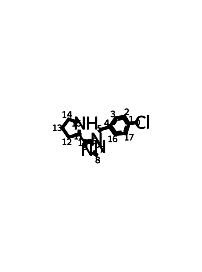 Clc1ccc(Cn2ncnc2[C@H]2CCCN2)cc1